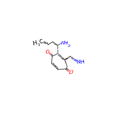 C=C/C=C(/N)C1=C(C=N)C(=O)C=CC1=O